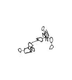 c1ccc(-c2cccc(-c3nc(-c4ccccc4)nc(-c4ccc(-c5ccc6c(c5)oc5ccc(-c7ccccc7)cc56)cc4)n3)c2)cc1